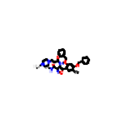 CCNC(=O)c1noc(-c2cc(C(C)C)c(OCc3ccccc3)cc2OCc2ccccc2)c1NC(=O)CCN1CCN(C)CC1